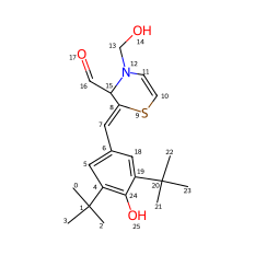 CC(C)(C)c1cc(C=C2SC=CN(CO)C2C=O)cc(C(C)(C)C)c1O